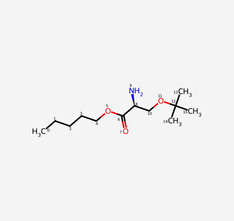 CCCCCOC(=O)[C@@H](N)COC(C)(C)C